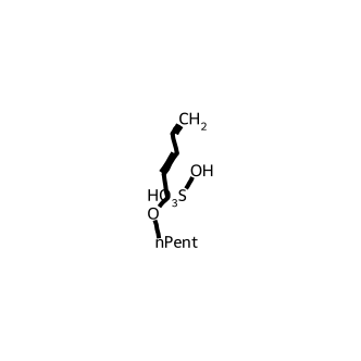 C=CC=CCOCCCCC.O=S(=O)(O)O